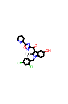 O=C(c1noc(-c2ccccn2)n1)c1c(C(F)(F)F)n(Cc2ccc(Cl)cc2Cl)c2ccc(O)cc12